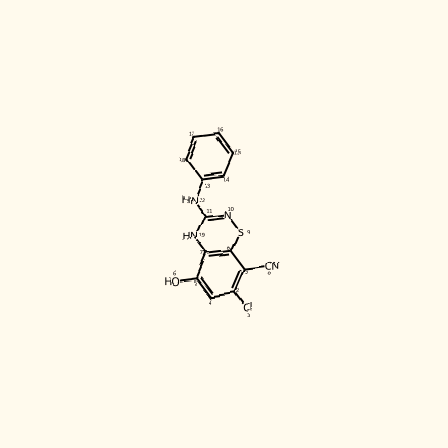 N#Cc1c(Cl)cc(O)c2c1SN=C(Nc1ccccc1)N2